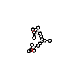 c1ccc(-c2cc3c4cc5ccc(N(c6ccccc6-c6ccccc6)c6cccc7c6oc6ccccc67)cc5cc4n4c5cc6cc(N(c7ccccc7-c7ccccc7)c7cccc8c7oc7ccccc78)ccc6cc5c(c2)c34)cc1